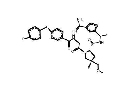 COC[C@@]1(F)C[C@@H](C(=O)N[C@H](C)c2cc(C(=N)N)cs2)N(C(=O)CNC(=O)c2ccc(Oc3ccc(F)cc3)cc2)C1